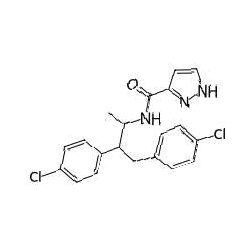 CC(NC(=O)c1cc[nH]n1)C(Cc1ccc(Cl)cc1)c1ccc(Cl)cc1